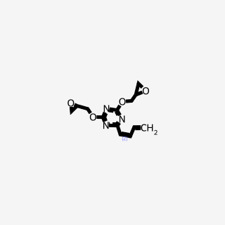 C=C/C=C\c1nc(OCC2CO2)nc(OCC2CO2)n1